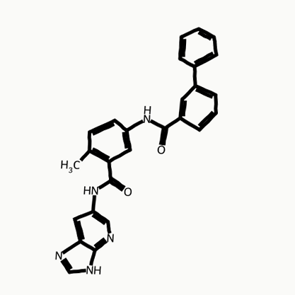 Cc1ccc(NC(=O)c2cccc(-c3ccccc3)c2)cc1C(=O)Nc1cnc2[nH]cnc2c1